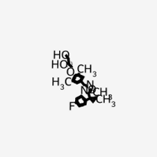 Cc1cc(-c2noc(C3(c4ccc(F)cc4)CC3(C)C)n2)cc(C)c1OC[C@@H](O)CO